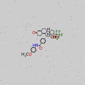 COc1ccc(NC(=O)c2ccc([C@H]3C[C@@]4(C)[C@@H](CC[C@@]4(O)C(F)(F)C(F)(F)F)[C@@H]4CCC5=CC(=O)CCC5=C43)cc2)cc1